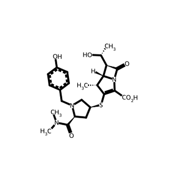 C[C@@H](O)[C@H]1C(=O)N2C(C(=O)O)=C(S[C@H]3C[C@@H](C(=O)N(C)C)N(Cc4ccc(O)cc4)C3)[C@H](C)[C@H]12